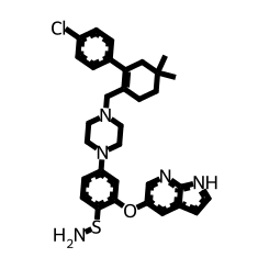 CC1(C)CCC(CN2CCN(c3ccc(SN)c(Oc4cnc5[nH]ccc5c4)c3)CC2)=C(c2ccc(Cl)cc2)C1